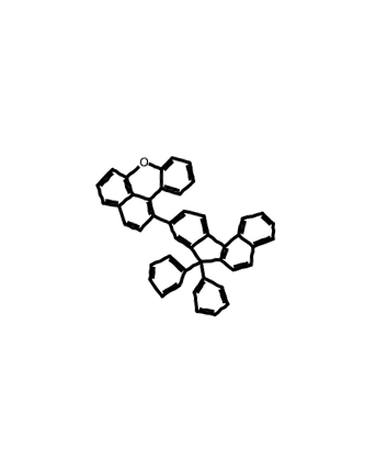 c1ccc(C2(c3ccccc3)c3cc(-c4ccc5cccc6c5c4-c4ccccc4O6)ccc3-c3c2ccc2ccccc32)cc1